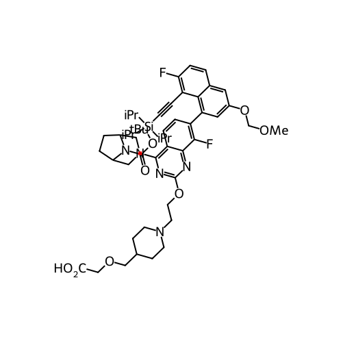 COCOc1cc(-c2ccc3c(N4CC5CCC(C4)N5C(=O)OC(C)(C)C)nc(OCCN4CCC(COCC(=O)O)CC4)nc3c2F)c2c(C#C[Si](C(C)C)(C(C)C)C(C)C)c(F)ccc2c1